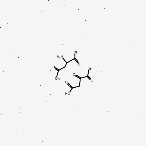 NC(CC(=O)O)C(=O)O.O=C(O)CC(=O)C(=O)O